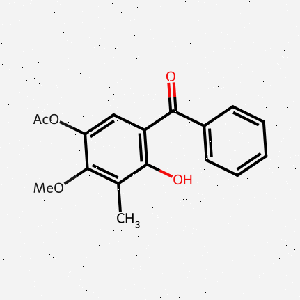 COc1c(OC(C)=O)cc(C(=O)c2ccccc2)c(O)c1C